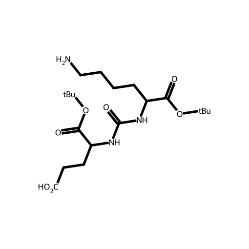 CC(C)(C)OC(=O)C(CCCCN)NC(=O)NC(CCC(=O)O)C(=O)OC(C)(C)C